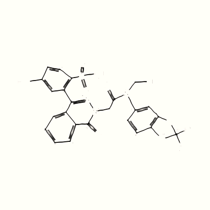 CCN(C(=O)Cn1nc(-c2cc(C)ccc2S(=O)(=O)O)c2ccccc2c1=O)c1ccc2c(c1)OC(F)(F)O2